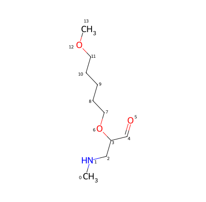 CNCC(C=O)OCCCCCOC